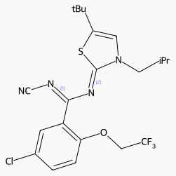 CC(C)Cn1cc(C(C)(C)C)s/c1=N\C(=N\C#N)c1cc(Cl)ccc1OCC(F)(F)F